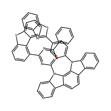 c1ccc(-c2nc(-c3cccc4sc5ccccc5c34)nc(-n3c4ccccc4c4ccc5c6ccccc6n(-c6ccc(-c7nc8ccccc8s7)cc6)c5c43)n2)cc1